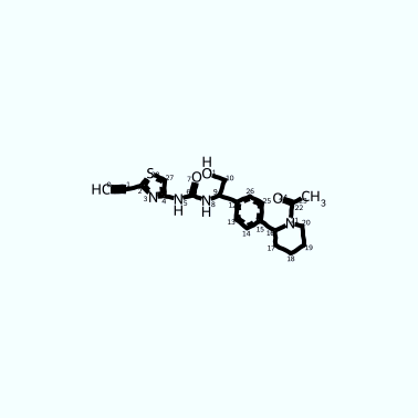 C#Cc1nc(NC(=O)NC(CO)c2ccc(C3CCCCN3C(C)=O)cc2)cs1